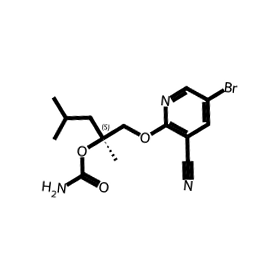 CC(C)C[C@@](C)(COc1ncc(Br)cc1C#N)OC(N)=O